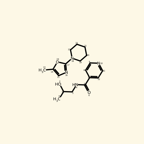 CC(O)CNC(=O)c1ccncc1.Cc1cnc(N2CCCCC2)o1